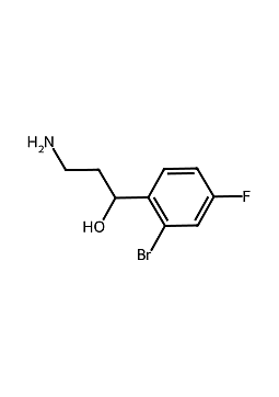 NCCC(O)c1ccc(F)cc1Br